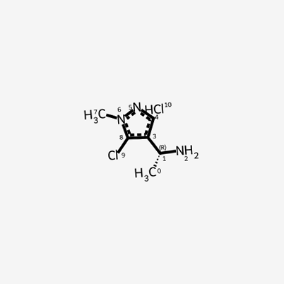 C[C@@H](N)c1cnn(C)c1Cl.Cl